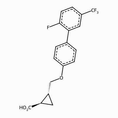 O=C(O)[C@@H]1C[C@H]1COc1ccc(-c2cc(C(F)(F)F)ccc2F)cc1